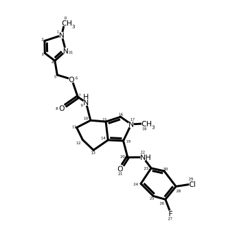 Cn1ccc(COC(=O)NC2CCCc3c2cn(C)c3C(=O)Nc2ccc(F)c(Cl)c2)n1